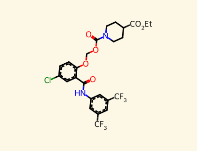 CCOC(=O)C1CCN(C(=O)OCOc2ccc(Cl)cc2C(=O)Nc2cc(C(F)(F)F)cc(C(F)(F)F)c2)CC1